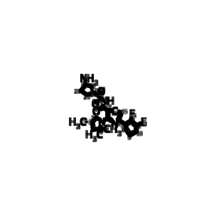 C[C@@H]1CN(c2nc(-c3cccc(F)c3F)ccc2C(=O)NS(=O)(=O)N2CC[C@H](N)C2)C(C)(C)C1